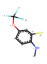 CNc1ccc(OC(F)(F)F)cc1S